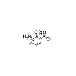 COc1c(C(=O)O)ccnc1N